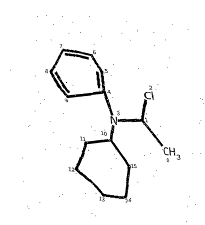 CC(Cl)N(c1ccccc1)C1CCCCC1